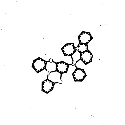 c1ccc([Si](c2ccccc2)(c2cc3c4c(c2)Oc2ccccc2B4c2ccccc2O3)c2cccc3c2sc2ccccc23)cc1